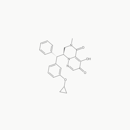 CN1C[C@H]([C@@H](c2ccccc2)c2cccc(OC3CC3)c2)n2ncc(=O)c(O)c2C1=O